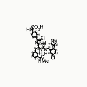 CNC(=O)c1cccc(C[C@H](NC(=O)NCc2cc(Cl)ccc2-n2cnnn2)c2nc(-c3ccc(NC(=O)O)cc3)c(Cl)[nH]2)c1